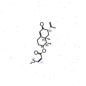 C=C(C)[C@@H]1C[C@@]2(C)C(=CC1=O)CC[C@@H](OC(=O)/C=C\SC)[C@@H]2C